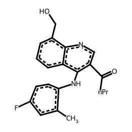 CCCC(=O)c1cnc2c(CO)cccc2c1Nc1ccc(F)cc1C